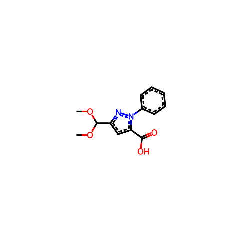 COC(OC)c1cc(C(=O)O)n(-c2ccccc2)n1